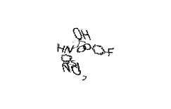 C[C@](O)(COc1ccc(F)cc1)C(=O)Nc1ccc([N+](=O)[O-])c([125I])c1